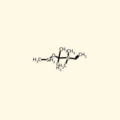 C=C[Si](C)(C)C(C)(C)O[SiH2]C